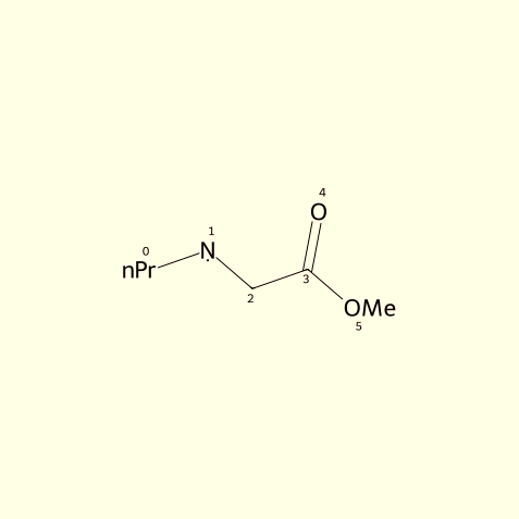 CCC[N]CC(=O)OC